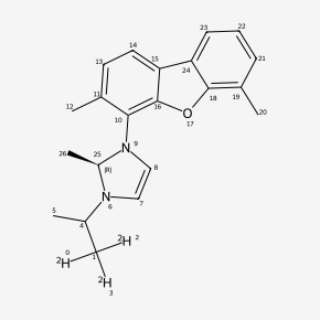 [2H]C([2H])([2H])C(C)N1C=CN(c2c(C)ccc3c2oc2c(C)cccc23)[C@@H]1C